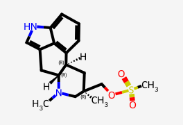 CN1C[C@](C)(COS(C)(=O)=O)C[C@@H]2c3cccc4[nH]cc(c34)C[C@H]21